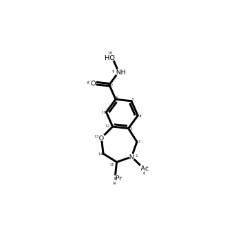 CC(=O)N1Cc2ccc(C(=O)NO)cc2OCC1C(C)C